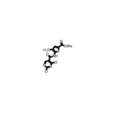 COC(=O)c1cc(C)c(NC(=O)c2cnc(Cl)nc2Cl)s1